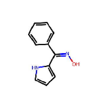 ON=C(c1ccccc1)c1ccc[nH]1